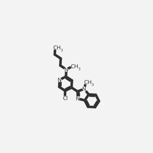 CCCCN(C)c1cc(-c2nc3ccccc3n2C)c(Cl)cn1